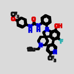 CC(C)(C)CN1CCC2(CC1)CN(c1ccccc1NC(=O)NC1=CCC(OC(F)(F)F)C=C1)c1c(O)cc(F)c(-c3ccc(C(F)(F)F)nc3)c12